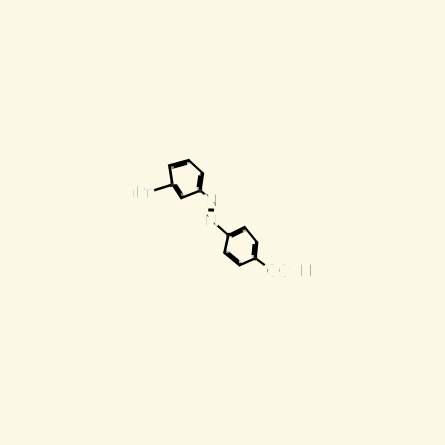 CC(C)c1cccc(N=Nc2ccc(C(=O)O)cc2)c1